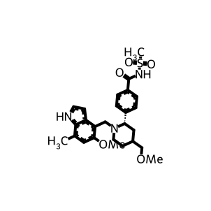 COCC1CCN(Cc2c(OC)cc(C)c3[nH]ccc23)[C@H](c2ccc(C(=O)NS(C)(=O)=O)cc2)C1